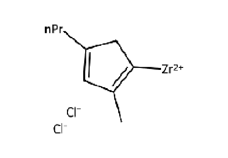 CCCC1=CC(C)=[C]([Zr+2])C1.[Cl-].[Cl-]